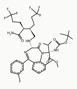 COC(=O)[C@](NC(=O)OC(C)(C)C)(C(C)C)N1C(=O)[C@@H](NC[C@H](CCC(F)(F)F)[C@H](CCC(F)(F)F)C(N)=O)N=C(c2cccc(F)c2)c2cccc(C)c21